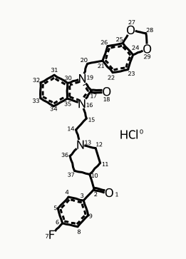 Cl.O=C(c1ccc(F)cc1)C1CCN(CCn2c(=O)n(Cc3ccc4c(c3)OCO4)c3ccccc32)CC1